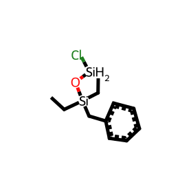 CC[Si](CC)(Cc1ccccc1)O[SiH2]Cl